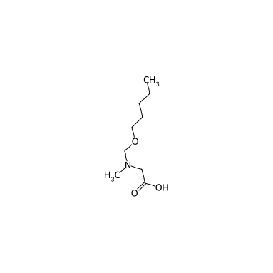 CCCCCOCN(C)CC(=O)O